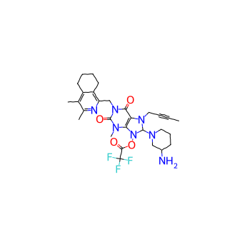 CC#CCN1c2c(n(C)c(=O)n(Cc3nc(C)c(C)c4c3CCCC4)c2=O)N(OC(=O)C(F)(F)F)C1N1CCCC(N)C1